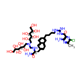 Cc1nc(N)c(C(=O)NC(=N)NCCCCc2ccc3cc(C[C@H](NCN(C[C@H](O)[C@@H](O)[C@H](O)[C@H](O)CO)C[C@H](O)[C@@H](O)[C@H](O)[C@H](O)CO)C(N)=O)ccc3c2)nc1Cl